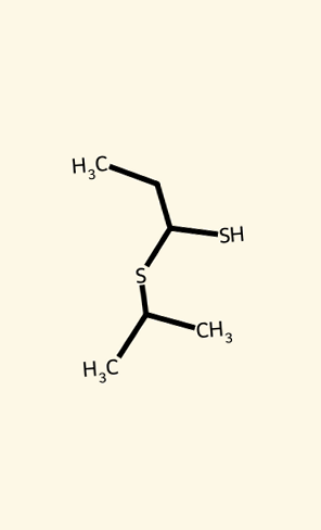 CCC(S)SC(C)C